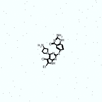 CCc1[nH]c2nc(Sc3ccc4[nH]c(N)nc(=O)c4c3)nc(N3CCC(N)C3)c2c1Cl